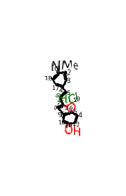 CNc1ccc(C=Cc2cc3cc(O)ccc3o2)cc1.Cl